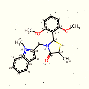 COc1cccc(OC)c1C1SC(C)C(=O)N1Cc1cc2ccccc2n1C